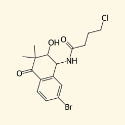 CC1(C)C(=O)c2ccc(Br)cc2C(NC(=O)CCCCl)C1O